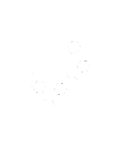 CN(C(=O)c1ccc(C(=O)Nc2ccc(Cl)c(-c3ccccn3)c2)cc1)c1ccc(N)nc1